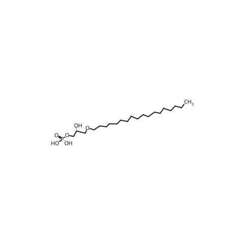 CCCCCCCCCCCCCCCCCCOC[C@@H](O)COP(=O)(O)O